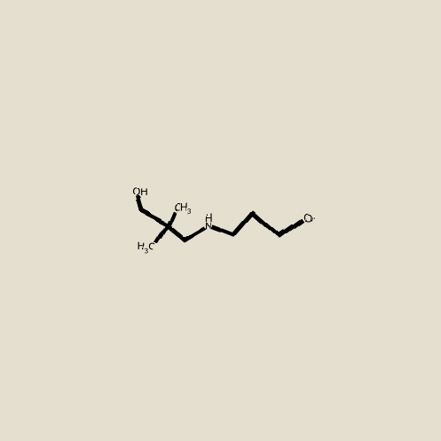 CC(C)(CO)CNCCC[O]